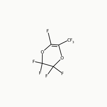 FC1=C(C(F)(F)F)OC(F)(F)C(F)(F)O1